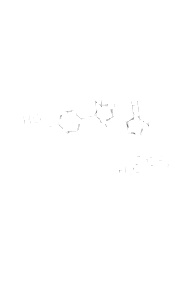 CC1(C)CCc2c(n[nH]c2-c2nc(-c3ccc(CO)cc3)no2)C1